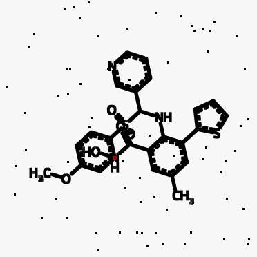 COc1ccc(S(=O)(=O)C(Nc2c(C(=O)NO)cc(C)cc2-c2cccs2)c2cccnc2)cc1